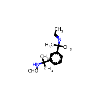 CC=NC(C)(C)c1cccc(C(C)(C)NC=O)c1